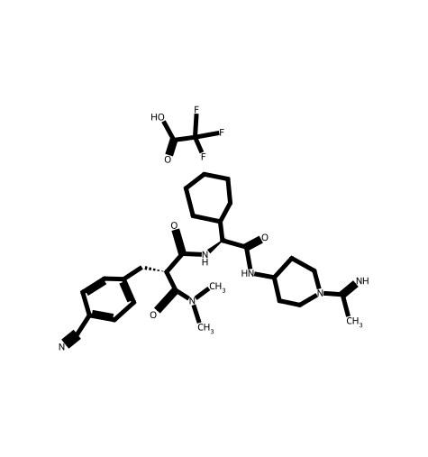 CC(=N)N1CCC(NC(=O)[C@@H](NC(=O)[C@@H](Cc2ccc(C#N)cc2)C(=O)N(C)C)C2CCCCC2)CC1.O=C(O)C(F)(F)F